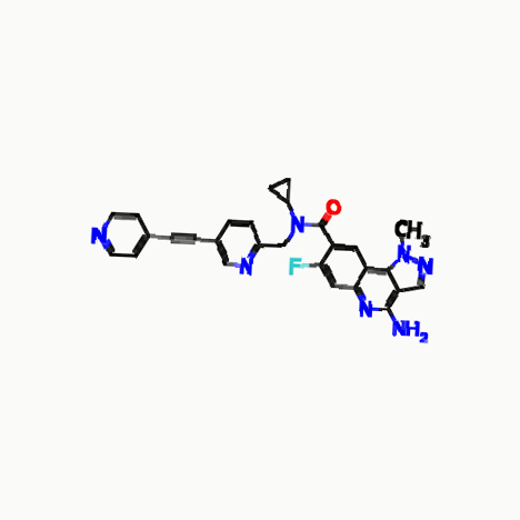 Cn1ncc2c(N)nc3cc(F)c(C(=O)N(Cc4ccc(C#Cc5ccncc5)cn4)C4CC4)cc3c21